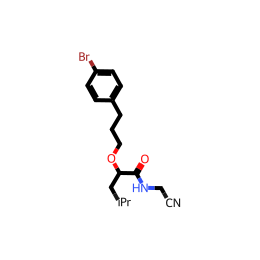 CC(C)CC(OCCCc1ccc(Br)cc1)C(=O)NCC#N